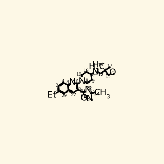 CCc1ccc2nc(N3CCC(NCC4(C)COC4)CC3)c(-c3nc(C)no3)cc2c1